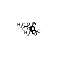 C=C(C)C(=O)OC1C2OC(=O)C3CC1(C(C)C)CCC32C